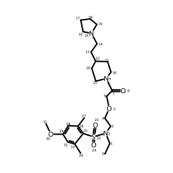 CCN(CCOCC(=O)N1CCC(CCN2CCCC2)CC1)S(=O)(=O)c1c(C)cc(OC)cc1C